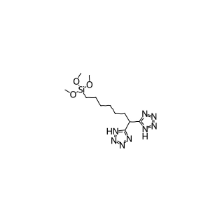 CO[Si](CCCCCCC(c1nnn[nH]1)c1nnn[nH]1)(OC)OC